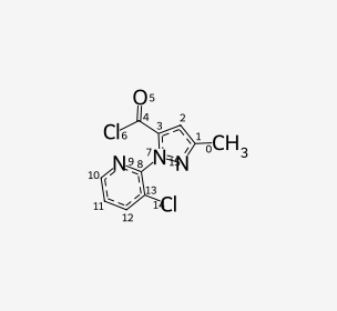 Cc1cc(C(=O)Cl)n(-c2ncccc2Cl)n1